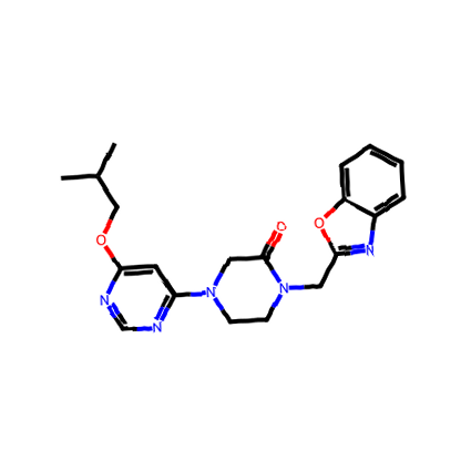 CC(C)COc1cc(N2CCN(Cc3nc4ccccc4o3)C(=O)C2)ncn1